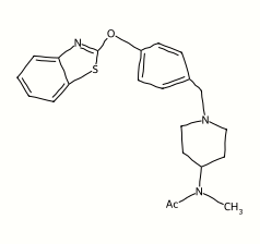 CC(=O)N(C)C1CCN(Cc2ccc(Oc3nc4ccccc4s3)cc2)CC1